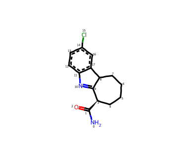 NC(=O)[C@@H]1CCCCC2C1=Nc1ccc(Cl)cc12